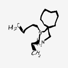 C=CCN(CC=C)C1(CN)CCCCC1